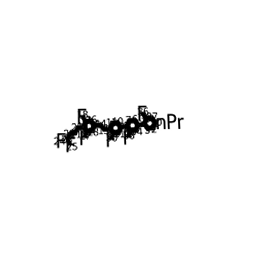 CCCc1ccc(-c2ccc(-c3ccc(CCc4cc(F)c(C/C=C/C(F)F)c(F)c4)c(F)c3)c(F)c2)c(F)c1